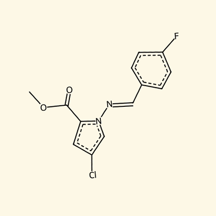 COC(=O)c1cc(Cl)cn1N=Cc1ccc(F)cc1